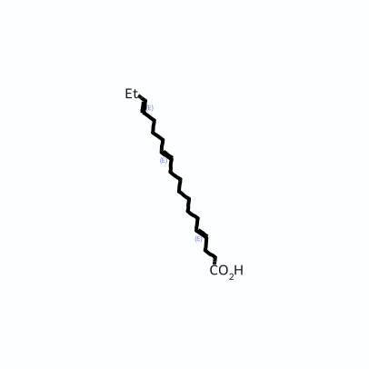 CC/C=C/CCC/C=C/CCCCCC/C=C/CCC(=O)O